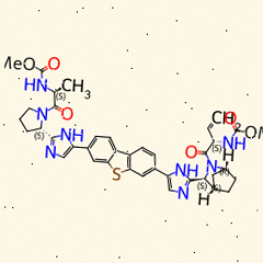 C=C[C@H](NC(=O)OC)C(=O)N1[C@@H]2CC[C@@H](C2)[C@H]1c1ncc(-c2ccc3c(c2)sc2cc(-c4cnc([C@@H]5CCCN5C(=O)[C@H](C)NC(=O)OC)[nH]4)ccc23)[nH]1